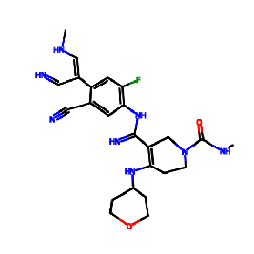 CN/C=C(\C=N)c1cc(F)c(NC(=N)C2=C(NC3CCOCC3)CCN(C(=O)NC)C2)cc1C#N